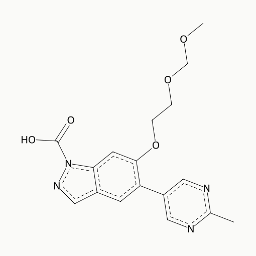 COCOCCOc1cc2c(cnn2C(=O)O)cc1-c1cnc(C)nc1